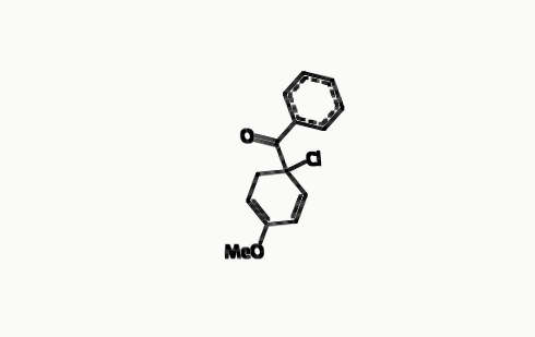 COC1=CCC(Cl)(C(=O)c2ccccc2)C=C1